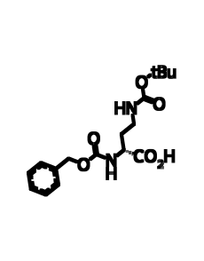 CC(C)(C)OC(=O)NCC[C@@H](NC(=O)OCc1ccccc1)C(=O)O